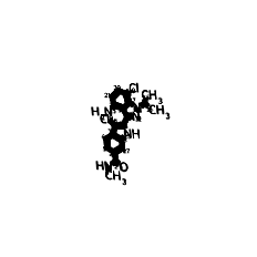 CNC(=O)c1ccc2c(Cl)c(-c3nn(C(C)C)c4c(Cl)ccc(N)c34)[nH]c2c1